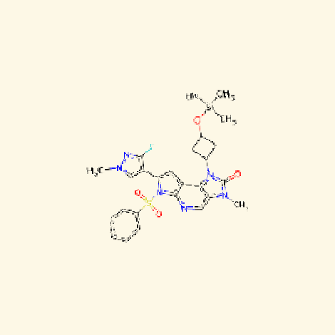 Cn1cc(-c2cc3c(ncc4c3n(C3CC(O[Si](C)(C)C(C)(C)C)C3)c(=O)n4C)n2S(=O)(=O)c2ccccc2)c(F)n1